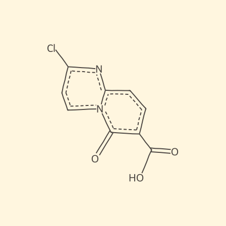 O=C(O)c1ccc2nc(Cl)ccn2c1=O